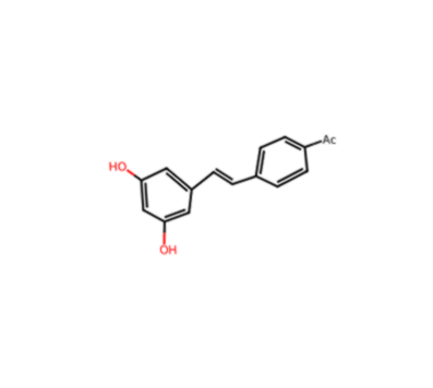 CC(=O)c1ccc(C=Cc2cc(O)cc(O)c2)cc1